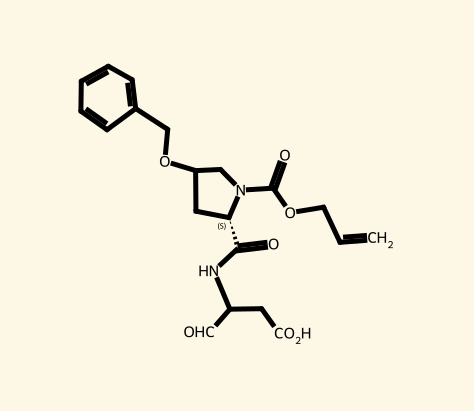 C=CCOC(=O)N1CC(OCc2ccccc2)C[C@H]1C(=O)NC(C=O)CC(=O)O